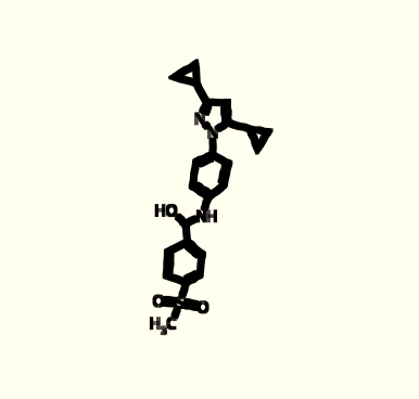 CS(=O)(=O)c1ccc(C(O)Nc2ccc(-n3nc(C4CC4)cc3C3CC3)cc2)cc1